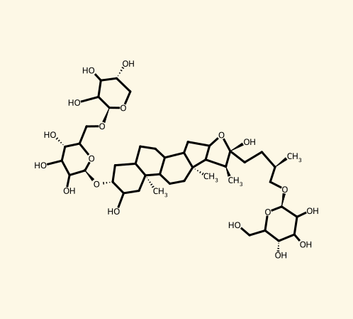 C[C@H](CC[C@@]1(O)OC2CC3C4CCC5C[C@@H](O[C@@H]6OC(CO[C@@H]7OC[C@@H](O)C(O)C7O)[C@@H](O)C(O)C6O)C(O)C[C@]5(C)C4CC[C@]3(C)C2[C@@H]1C)CO[C@@H]1OC(CO)[C@@H](O)C(O)C1O